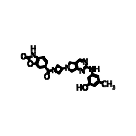 Cc1cc(O)cc(Nc2ncc3c(n2)CN(C2CN(C(=O)c4ccc5[nH]c(=O)oc5c4)C2)C3)c1